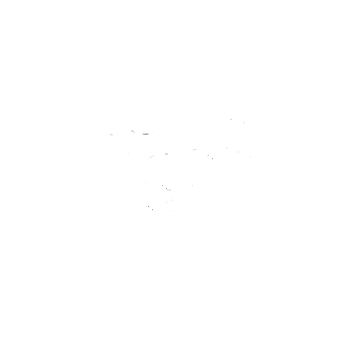 CC(C)(C)OC(=O)N1CCC(N2C(=O)N(C(C)(C)C)CC2c2cccc(Cl)c2)CC1